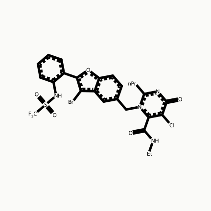 CCCc1nc(=O)c(Cl)c(C(=O)NCC)n1Cc1ccc2oc(-c3ccccc3NS(=O)(=O)C(F)(F)F)c(Br)c2c1